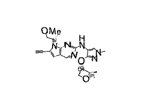 C#Cc1cc2cnc(Nc3cn(C)nc3O[C@H]3CO[C@@H]3C)nc2n1[C@@H](C)COC